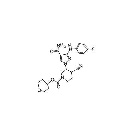 N#CC1CCN(C(=O)OC2CCOCC2)C[C@H]1n1cc(C(N)=O)c(Nc2ccc(F)cc2)n1